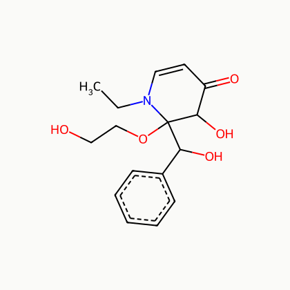 CCN1C=CC(=O)C(O)C1(OCCO)C(O)c1ccccc1